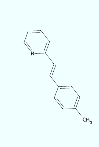 Cc1ccc(/C=C/c2ccccn2)cc1